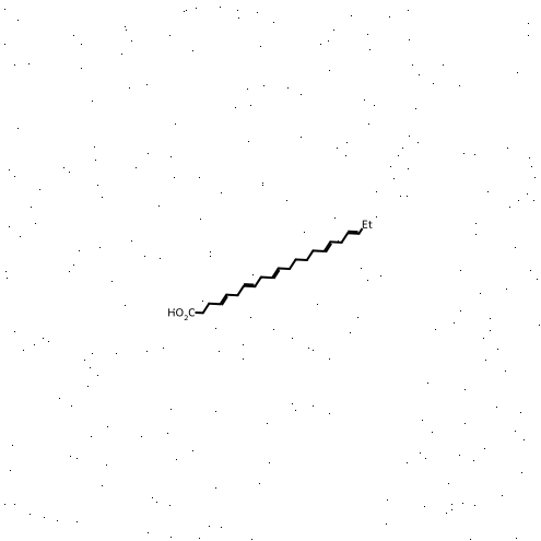 CCC=CCC=CCCCCC=CCC=CCC=CCCC(=O)O